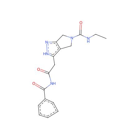 CCNC(=O)N1Cc2n[nH]c(CC(=O)NC(=O)c3ccccc3)c2C1